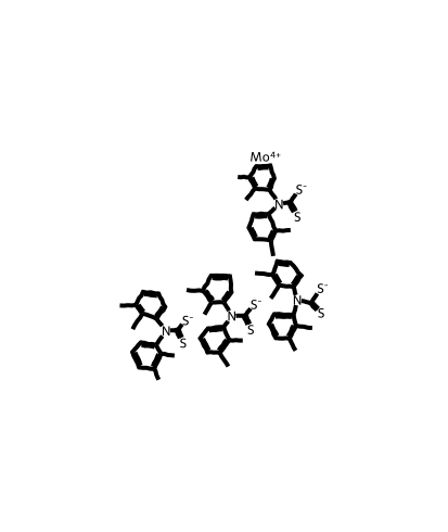 Cc1cccc(N(C(=S)[S-])c2cccc(C)c2C)c1C.Cc1cccc(N(C(=S)[S-])c2cccc(C)c2C)c1C.Cc1cccc(N(C(=S)[S-])c2cccc(C)c2C)c1C.Cc1cccc(N(C(=S)[S-])c2cccc(C)c2C)c1C.[Mo+4]